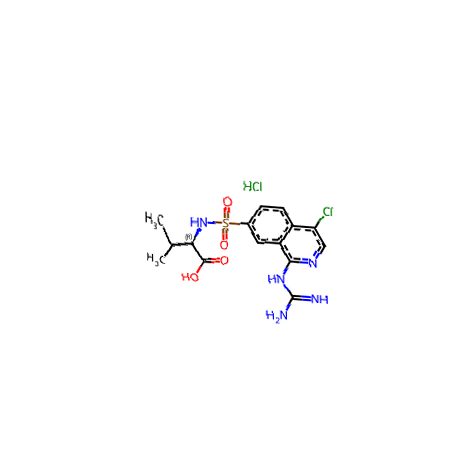 CC(C)[C@@H](NS(=O)(=O)c1ccc2c(Cl)cnc(NC(=N)N)c2c1)C(=O)O.Cl